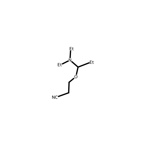 CCC(OCCC#N)N(CC)CC